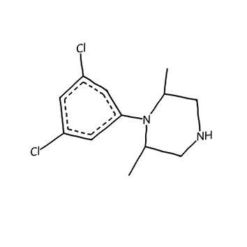 CC1CNCC(C)N1c1cc(Cl)cc(Cl)c1